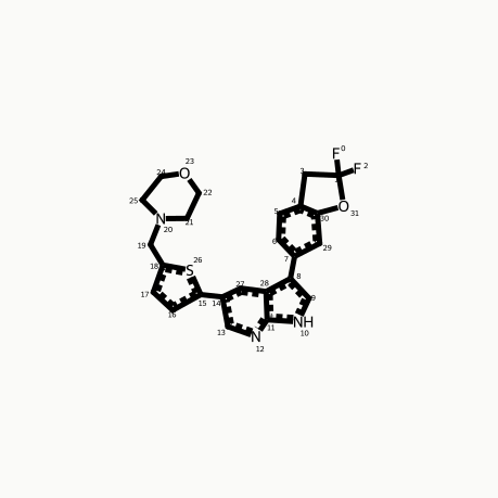 FC1(F)Cc2ccc(-c3c[nH]c4ncc(-c5ccc(CN6CCOCC6)s5)cc34)cc2O1